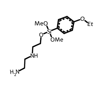 CCOc1ccc([Si](OC)(OC)OCCNCCN)cc1